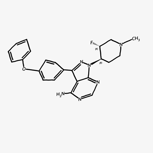 CN1CC[C@@H](n2nc(-c3ccc(Oc4ccccc4)cc3)c3c(N)ncnc32)[C@H](F)C1